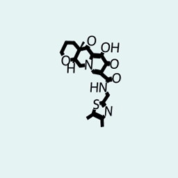 Cc1nc(CNC(=O)c2cn3c(c(O)c2=O)C(=O)[C@@]2(C)CCCO[C@H]2C3)sc1C